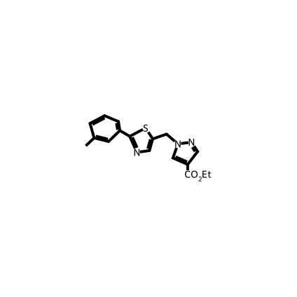 CCOC(=O)c1cnn(Cc2cnc(-c3cccc(C)c3)s2)c1